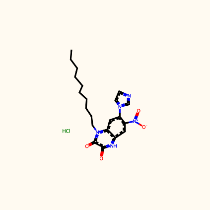 CCCCCCCCCCn1c(=O)c(=O)[nH]c2cc([N+](=O)[O-])c(-n3ccnc3)cc21.Cl